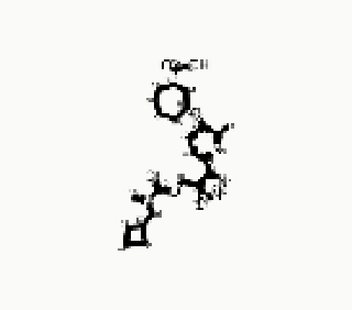 Cc1nc(-c2nnn(C)c2COC(=O)N(C)CC2CCC2)ccc1O[C@@H]1CCCC[C@H](C(=O)O)C1